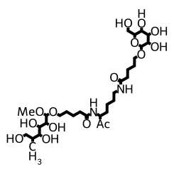 COC(OCCCCC(=O)NC(CCCCNC(=O)CCCCOC1OC(CO)C(O)C(O)C1O)C(C)=O)C(O)C(O)C(O)C(C)CO